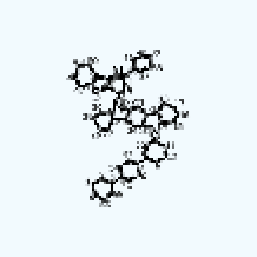 c1ccc(-c2ccc(-c3cccc(-n4c5ccccc5c5cc6c(cc54)c4ccccc4n6-c4nc(-c5ccccc5)nc5c4sc4ccccc45)c3)cc2)cc1